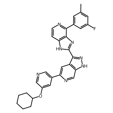 Cc1cc(F)cc(-c2nccc3[nH]c(-c4n[nH]c5cnc(-c6cncc(OC7CCCCC7)c6)cc45)nc23)c1